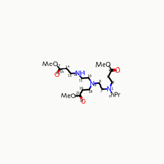 CCCN(CCC(=O)OC)CCN(CCNCCC(=O)OC)CCC(=O)OC